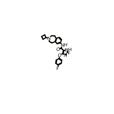 O=C(Nc1ccc2c(c1)CCN(C1CCC1)CC2)c1[nH]nnc1Oc1ccc(F)cc1